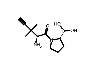 C#CC(C)(C)[C@H](N)C(=O)N1CCC[C@H]1B(O)O